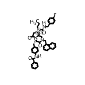 CCCN(C(=O)NCc1ccc(F)cc1)N1CC(=O)N2[C@@H](Cc3ccc(NC(=O)c4ccccc4)cc3)C(=O)N(Cc3cccc4ccccc34)C[C@@H]21